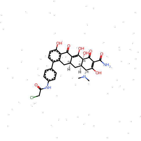 CN(C)[C@H]1C(O)=C(C(N)=O)C(=O)[C@]2(O)C(O)=C3C(=O)c4c(O)ccc(-c5ccc(NC(=O)CCl)cc5)c4C[C@@H]3C[C@H]12